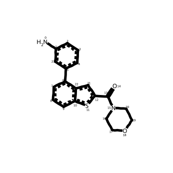 Nc1cccc(-c2cccc3sc(C(=O)N4CCOCC4)cc23)c1